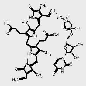 C=CC1=C(C)/C(=C/c2[nH]c(Cc3[nH]c(/C=C4\NC(=O)C(C)=C4C=C)c(C)c3CCC(=O)O)c(CCC(=O)O)c2C)NC1=O.O=c1ccn([C@@H]2O[C@H](COP(=O)(O)OP(=O)(O)O)[C@@H](O)[C@H]2O)c(=O)[nH]1